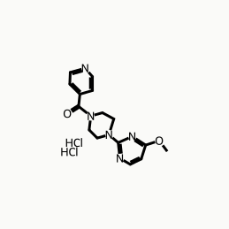 COc1ccnc(N2CCN(C(=O)c3ccncc3)CC2)n1.Cl.Cl